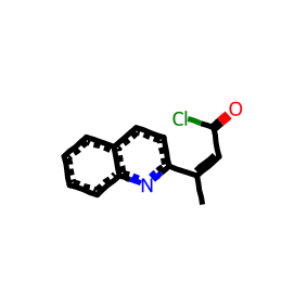 C/C(=C/C(=O)Cl)c1ccc2ccccc2n1